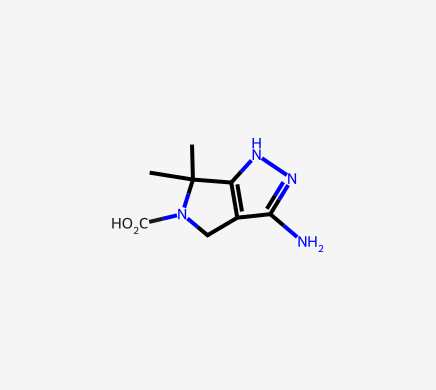 CC1(C)c2[nH]nc(N)c2CN1C(=O)O